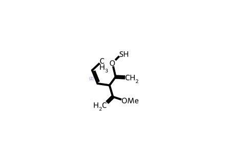 C=C(OC)C(/C=C\C)C(=C)OS